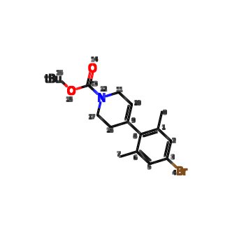 Cc1cc(Br)cc(C)c1C1=CCN(C(=O)OC(C)(C)C)CC1